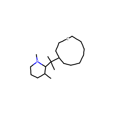 CC1CCCN(C)C1C(C)(C)C1CCCCCCCCCC1